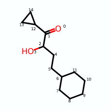 O=C(C(O)CCC1CCCCC1)C1CC1